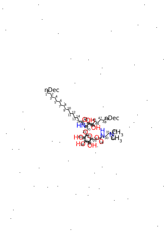 CCCCCCCCCCCCCCCCCCCCCCCCCC(=O)N[C@@H](CO[C@H]1O[C@H](COC(=O)NCCN(C)C)[C@H](O)[C@H](O)[C@H]1O)[C@H](O)[C@H](O)CCCCCCCCCCCCCC